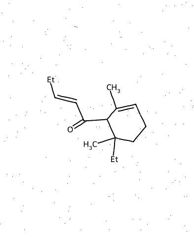 CCC=CC(=O)C1C(C)=CCCC1(C)CC